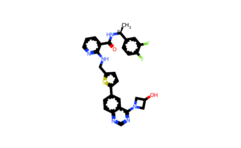 C[C@H](NC(=O)c1cccnc1NCc1ccc(-c2ccc3ncnc(N4CC(O)C4)c3c2)s1)c1ccc(F)c(F)c1